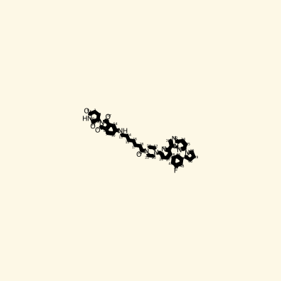 O=C1CCC(N2C(=O)c3ccc(NCCCCCCC(=O)N4CCN(c5cccc(-c6cnc7ccc(N8CCC[C@@H]8c8cccc(F)c8)nn67)n5)CC4)cc3C2=O)C(=O)N1